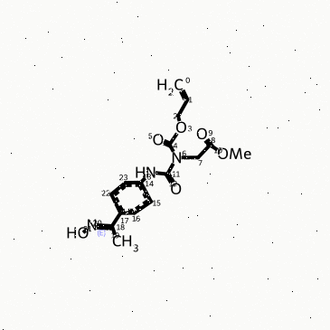 C=CCOC(=O)N(CC(=O)OC)C(=O)Nc1ccc(/C(C)=N/O)cc1